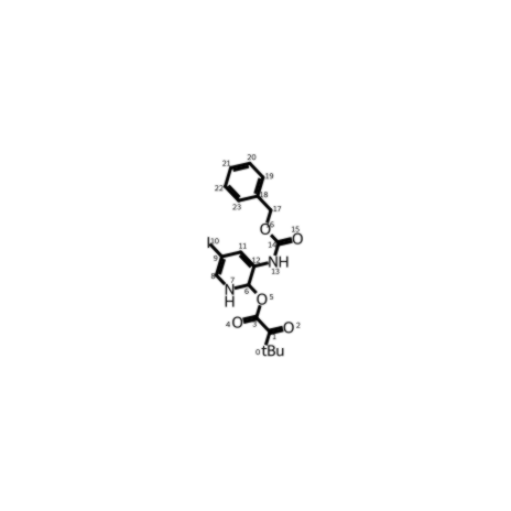 CC(C)(C)C(=O)C(=O)OC1NC=C(I)C=C1NC(=O)OCc1ccccc1